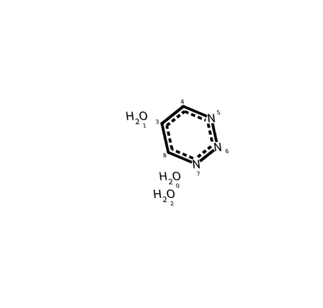 O.O.O.c1cnnnc1